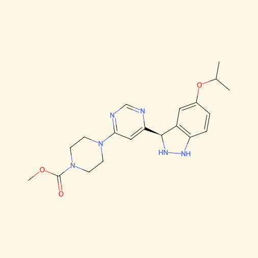 COC(=O)N1CCN(c2cc([C@@H]3NNc4ccc(OC(C)C)cc43)ncn2)CC1